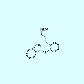 CNCCCc1ccccc1Sc1csc2ccccc12